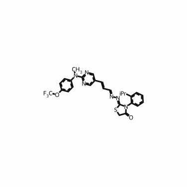 CC(C)c1ccccc1N1C(=O)CSC1=NN=CC=Cc1cnc(N(C)c2ccc(OC(F)(F)F)cc2)nc1